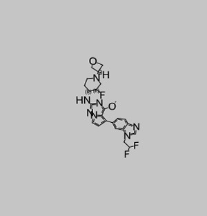 [2H]C1(N2CC[C@@H](Nc3nc(OC)c4c(-c5ccc6ncn(CC(F)F)c6c5)ccn4n3)[C@H](F)C2)COC1